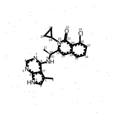 Cc1c[nH]c2ncnc(N[C@@H](C)c3cc4cccc(Cl)c4c(=O)n3C3CC3)c12